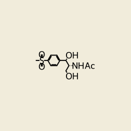 CC(=O)N[C@H](CO)[C@H](O)c1ccc(S(C)(=O)=O)cc1